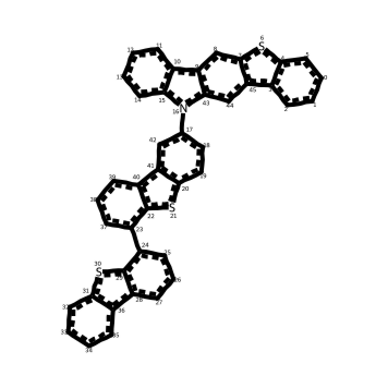 c1ccc2c(c1)sc1cc3c4ccccc4n(-c4ccc5sc6c(-c7cccc8c7sc7ccccc78)cccc6c5c4)c3cc12